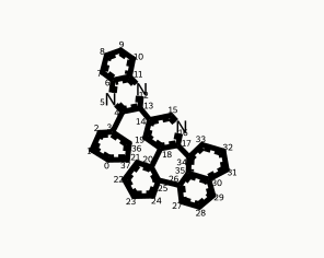 c1ccc(-c2nc3ccccc3nc2-c2cnc3c(c2)-c2ccccc2-c2cccc4cccc-3c24)cc1